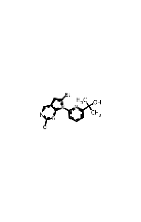 CCc1cc2cnc(Cl)nc2n1-c1cccc(C(C)(C)O)n1